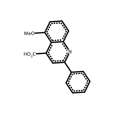 COc1cccc2nc(-c3ccccc3)cc(C(=O)O)c12